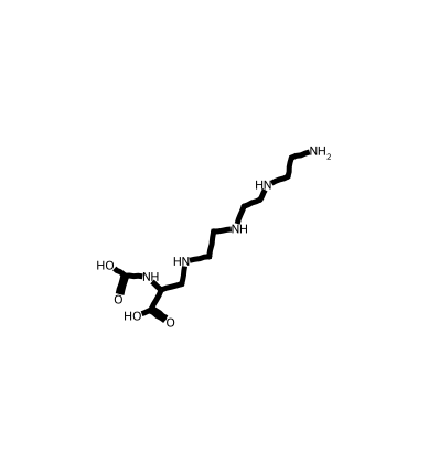 NCCNCCNCCNCC(NC(=O)O)C(=O)O